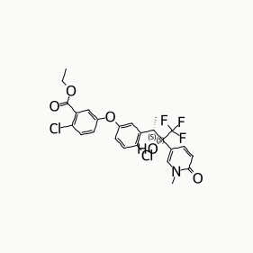 CCOC(=O)c1cc(Oc2ccc(Cl)c([C@H](C)[C@](O)(c3ccc(=O)n(C)c3)C(F)(F)F)c2)ccc1Cl